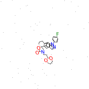 C[C@]12Cc3cnn(-c4ccc(F)cc4)c3C=C1CCC[C@@]21CN(CCC2OCCCO2)C(=O)O1